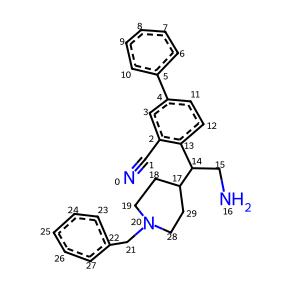 N#Cc1cc(-c2ccccc2)ccc1C(CN)C1CCN(Cc2ccccc2)CC1